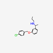 CCCNC(C)c1cccc(OCc2ccc(Cl)cc2)c1